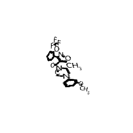 COc1cccc(N2CCN(C(=O)c3c(-c4ccccc4OC(F)(F)F)noc3C)CC2)c1